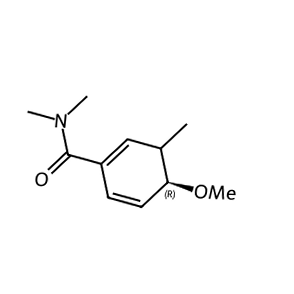 CO[C@H]1C=CC(C(=O)N(C)C)=CC1C